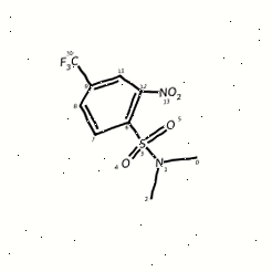 CN(C)S(=O)(=O)c1ccc(C(F)(F)F)cc1[N+](=O)[O-]